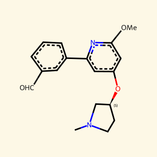 COc1cc(O[C@H]2CCN(C)C2)cc(-c2cccc(C=O)c2)n1